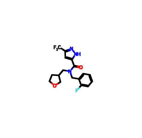 O=C(c1cc(C(F)(F)F)n[nH]1)N(Cc1ccccc1F)CC1CCOC1